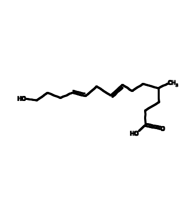 CC(CCC=CCC=CCCCO)CCC(=O)O